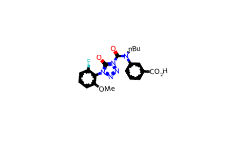 CCCCN(C(=O)n1nnn(-c2c(F)cccc2OC)c1=O)c1cccc(C(=O)O)c1